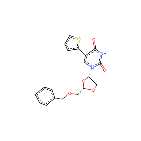 O=c1[nH]c(=O)n([C@@H]2CO[C@H](COCc3ccccc3)O2)cc1-c1cccs1